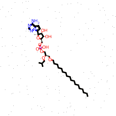 CCCCCCCCCCCCCCCCCCOC[C@H](COP(=O)(O)OC[C@H]1O[C@@](C)(c2ccc3c(N)ncnn23)[C@H](O)[C@@H]1O)OCC(C)C